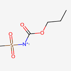 CCCOC(=O)[N+]S(C)(=O)=O